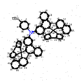 CC(C)(C)c1ccc(N(c2ccc3c4c(c5ccccc5c3c2)-c2ccc3ccccc3c2C42c3ccccc3-c3ccccc32)c2ccc3c4c(c5ccccc5c3c2)-c2ccc3ccccc3c2C42c3ccccc3-c3ccccc32)cc1